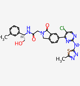 Cc1cccc([C@@H](CO)NC(=O)CN2Cc3ccc(-c4nc(Nc5nnc(C)s5)ncc4Cl)cc3C2=O)c1